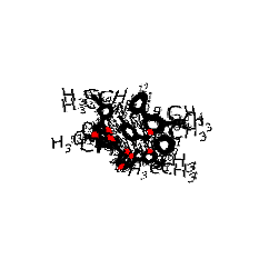 CC(C)(C)c1ccc2c(c1)c1ccccc1n2-c1c(C#N)c(-n2c3ccccc3c3cc(C(C)(C)C)ccc32)c(-n2c3ccccc3c3cc(C(C)(C)C)ccc32)c(-n2c3ccccc3c3cc(C(C)(C)C)ccc32)c1-c1nc2ccccc2o1